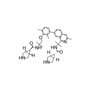 Cc1cc2ccc(-c3ccc(C)c(OCC(C)(C)NC(=O)[C@H]4[C@@H]5CNC[C@@H]54)c3C)cc2c(C(C)(C)NC(=O)[C@H]2[C@@H]3CNC[C@@H]32)n1